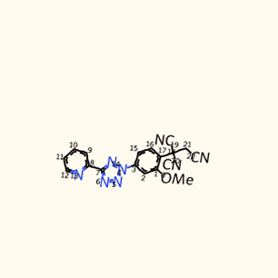 COc1cc(-n2nnc(-c3ccccn3)n2)ccc1C(C#N)(C#N)CC#N